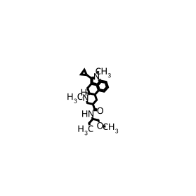 CCC(COC)NC(=O)C1CC2c3cccc4c3c(c(C3CC3)n4C)C[C@H]2N(C)C1